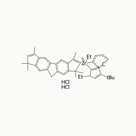 Cl.Cl.[CH2]=[Zr]([CH2]C)([C]1=CC(C(C)(C)C)=CC1CC)([C]1=C(C)c2cc3c(cc2C1(C)C)Cc1cc2c(cc1-3)C(C)=CC2(C)C)[c]1ccccc1